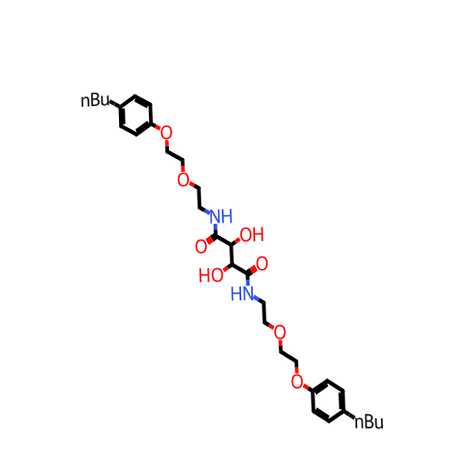 CCCCc1ccc(OCCOCCNC(=O)C(O)C(O)C(=O)NCCOCCOc2ccc(CCCC)cc2)cc1